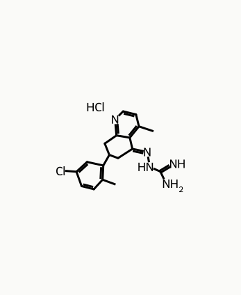 Cc1ccc(Cl)cc1C1CC(=NNC(=N)N)c2c(C)ccnc2C1.Cl